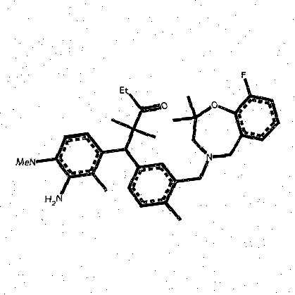 CCC(=O)C(C)(C)C(c1ccc(C)c(CN2Cc3cccc(F)c3OC(C)(C)C2)c1)c1ccc(NC)c(N)c1C